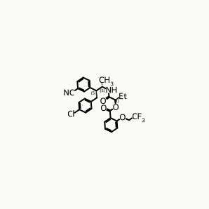 CC[C@@H](OC(=O)c1ccccc1OCC(F)(F)F)C(=O)N[C@@H](C)[C@@H](Cc1ccc(Cl)cc1)c1cccc(C#N)c1